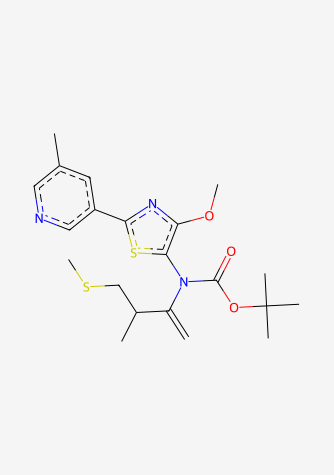 C=C(C(C)CSC)N(C(=O)OC(C)(C)C)c1sc(-c2cncc(C)c2)nc1OC